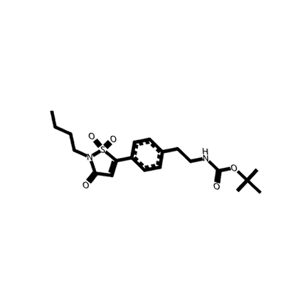 CCCCN1C(=O)C=C(c2ccc(CCNC(=O)OC(C)(C)C)cc2)S1(=O)=O